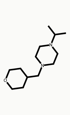 CC(C)N1CCN(CC2CCOCC2)CC1